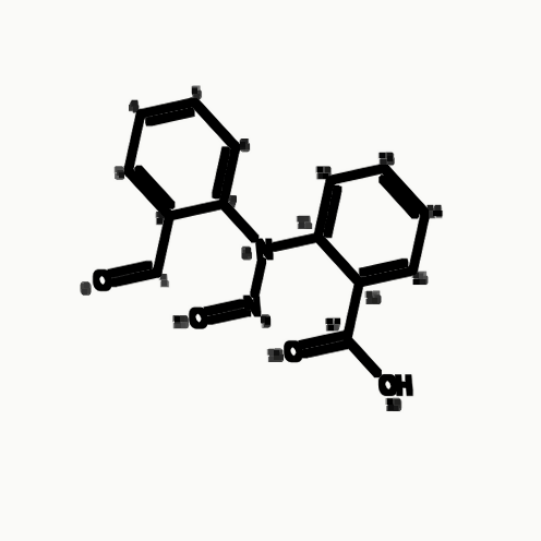 O=Cc1ccccc1N(N=O)c1ccccc1C(=O)O